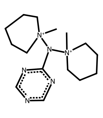 C[N+]1(N(c2ncncn2)[N+]2(C)CCCCC2)CCCCC1